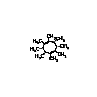 C/C1=C(\C)[C@H](C)[C@H](C)/C(C)=C(/C)[C@H](C)[C@@H]1C